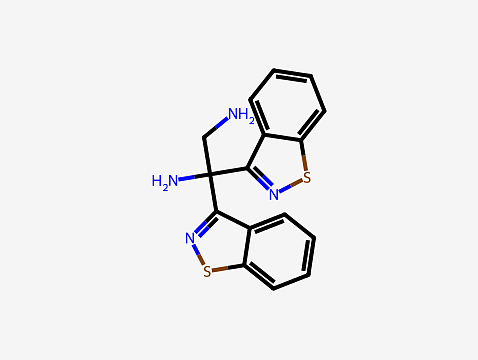 NCC(N)(c1nsc2ccccc12)c1nsc2ccccc12